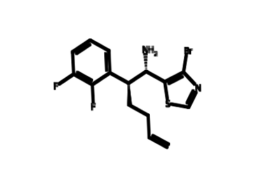 C=CCC[C@@H](c1cccc(F)c1F)[C@H](N)c1scnc1Br